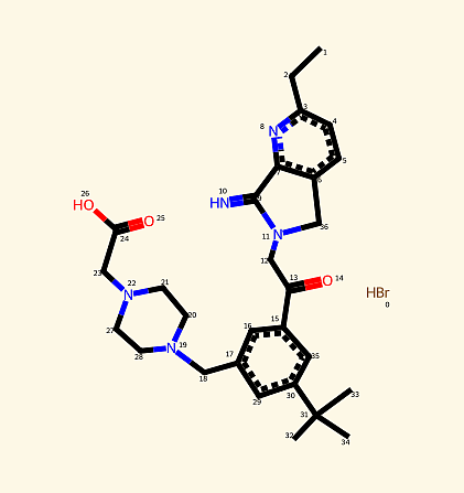 Br.CCc1ccc2c(n1)C(=N)N(CC(=O)c1cc(CN3CCN(CC(=O)O)CC3)cc(C(C)(C)C)c1)C2